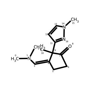 CN(C)C=C1CCC(=O)C1(C)c1ccn(C)n1